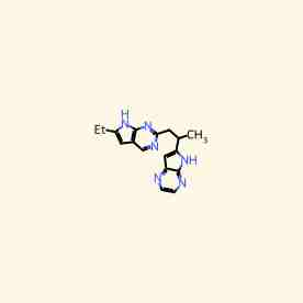 CCc1cc2cnc(CC(C)c3cc4nccnc4[nH]3)nc2[nH]1